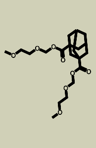 COCCOCOC(=O)C12CC3CC(C1)CC(C(=O)OCOCCOC)(C3)C2